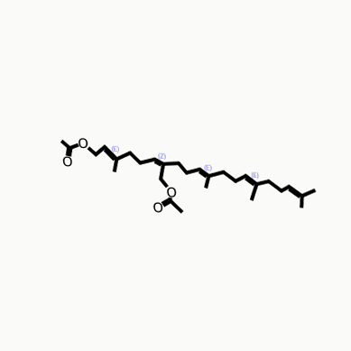 CC(=O)OC/C=C(\C)CC/C=C(/CC/C=C(\C)CC/C=C(\C)CCC=C(C)C)COC(C)=O